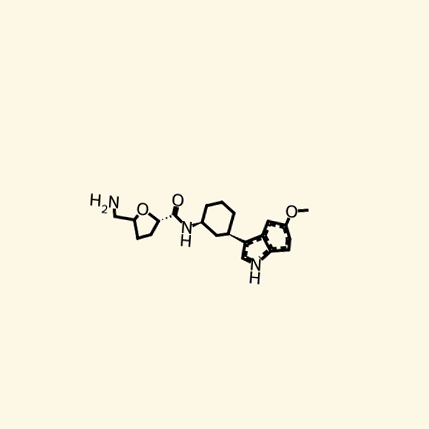 COc1ccc2[nH]cc([C@@H]3CCC[C@H](NC(=O)[C@@H]4CCC(CN)O4)C3)c2c1